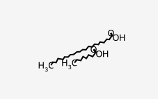 CCCCCCCC(=O)O.CCCCCCCCCCCCCCCCCCCCCC(=O)O